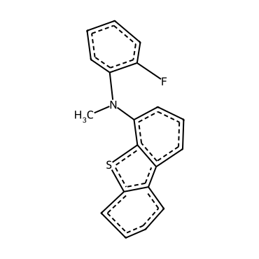 CN(c1ccccc1F)c1cccc2c1sc1ccccc12